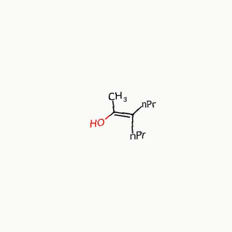 CCCC(CCC)=C(C)O